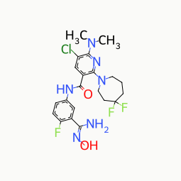 CN(C)c1nc(N2CCCC(F)(F)CC2)c(C(=O)Nc2ccc(F)c(C(N)=NO)c2)cc1Cl